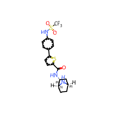 O=C(N[C@@H]1C[C@H]2CC[C@@H]1N2)c1ccc(-c2ccc(NS(=O)(=O)C(F)(F)F)cc2)s1